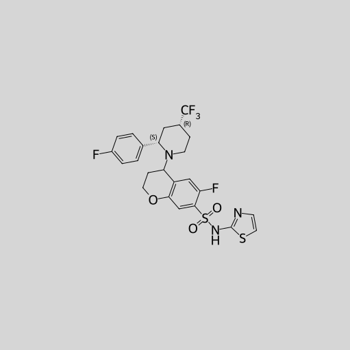 O=S(=O)(Nc1nccs1)c1cc2c(cc1F)C(N1CC[C@@H](C(F)(F)F)C[C@H]1c1ccc(F)cc1)CCO2